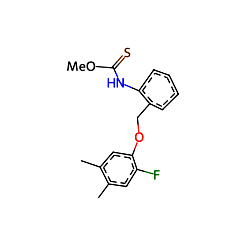 COC(=S)Nc1ccccc1COc1cc(C)c(C)cc1F